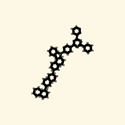 c1ccc(-c2cc(-c3ccc(-n4c5ccccc5c5c6ccc(-c7ccc8cc(-c9cccc%10ccccc9%10)ccc8c7)cc6ccc54)cc3)nc(-c3ccccc3)n2)cc1